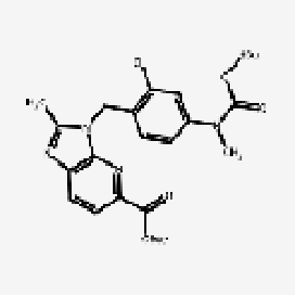 COC(=O)c1ccc2nc(C)n(Cc3ccc(N(C)C(=O)OC(C)(C)C)cc3Cl)c2n1